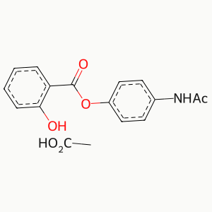 CC(=O)Nc1ccc(OC(=O)c2ccccc2O)cc1.CC(=O)O